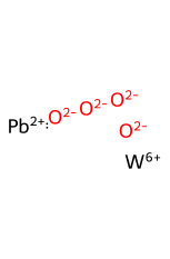 [O-2].[O-2].[O-2].[O-2].[Pb+2].[W+6]